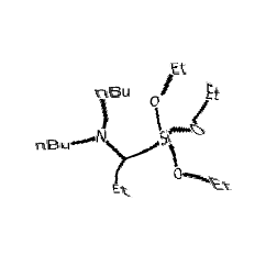 CCCCN(CCCC)C(CC)[Si](OCC)(OCC)OCC